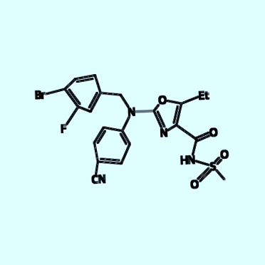 CCc1oc(N(Cc2ccc(Br)c(F)c2)c2ccc(C#N)cc2)nc1C(=O)NS(C)(=O)=O